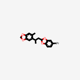 Cc1cc2c(cc1C(C)CC1Oc3ccc(C(C)C)cc3O1)OCO2